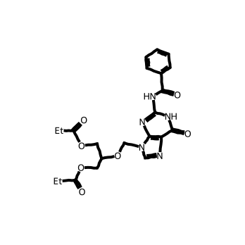 CCC(=O)OCC(COC(=O)CC)OCn1cnc2c(=O)[nH]c(NC(=O)c3ccccc3)nc21